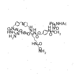 CCCCOc1nc(N)c2[nH]c(=O)n(Cc3ccc(CN4CCC(CCNC(=O)[C@H](CCCCNC(=O)CON)NC(=O)OCc5ccc(NC(=O)[C@H](C)NC(=O)C(NC(C)=O)C(C)C)cc5)CC4)cc3)c2n1